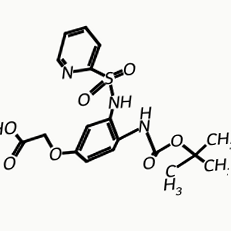 CC(C)(C)OC(=O)Nc1ccc(OCC(=O)O)cc1NS(=O)(=O)c1ccccn1